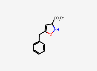 CCOC(=O)C1C=C(Cc2ccccc2)ON1